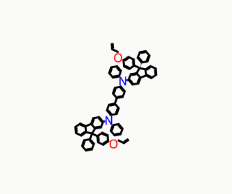 C=CCOc1ccc(C2(c3ccccc3)c3ccccc3-c3ccc(N(c4ccccc4)c4ccc(-c5ccc(N(c6ccccc6)c6ccc7c(c6)[C@@](c6ccccc6)(c6ccc(OCC=C)cc6)c6ccccc6-7)cc5)cc4)cc32)cc1